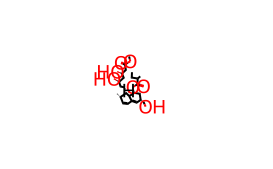 CCC(C)C(=O)O[C@H]1C[C@H](CO)C=C2C=C[C@H](C)[C@H](CC[C@@H](O)C[C@@H](O)CC(=O)OC)[C@H]21